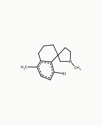 CCc1ccc(C)c2c1C1(CCC2)CCN(C)C1